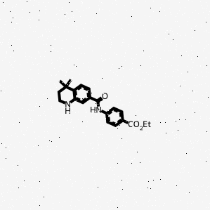 CCOC(=O)c1ccc(NC(=O)c2ccc3c(c2)NCCC3(C)C)cc1